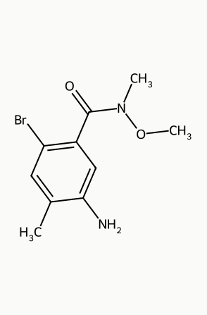 CON(C)C(=O)c1cc(N)c(C)cc1Br